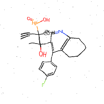 C#CC(C(=O)O)([PH](=O)O)C(C)(O)c1c(C(C)C)nc2c(c1-c1ccc(F)cc1)CCCC2